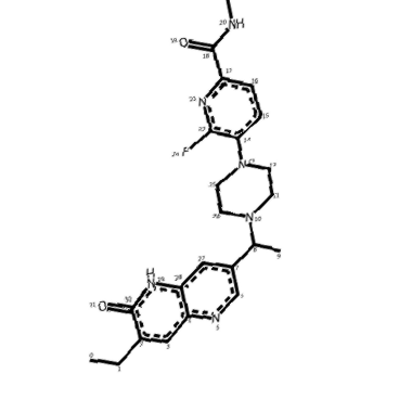 CCc1cc2ncc(C(C)N3CCN(c4ccc(C(=O)NC)nc4F)CC3)cc2[nH]c1=O